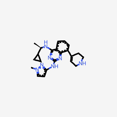 C[C@@H](Nc1nc(Nc2ccn(C)n2)nc2c(C3=CCNCC3)cccc12)C1CC1